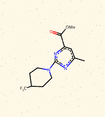 COC(=O)c1cc(C)nc(N2CCC(C(F)(F)F)CC2)n1